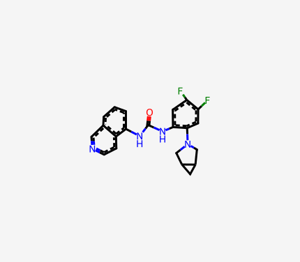 O=C(Nc1cc(F)c(F)cc1N1CC2CC2C1)Nc1cccc2cnccc12